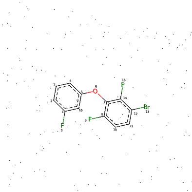 Fc1cccc(Oc2c(F)ccc(Br)c2F)c1